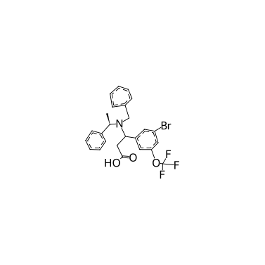 C[C@H](c1ccccc1)N(Cc1ccccc1)C(CC(=O)O)c1cc(Br)cc(OC(F)(F)F)c1